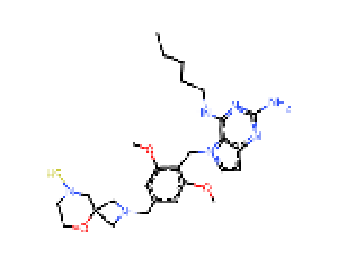 CCCCCNc1nc(N)nc2ccn(Cc3c(OC)cc(CN4CC5(CN(S)CCO5)C4)cc3OC)c12